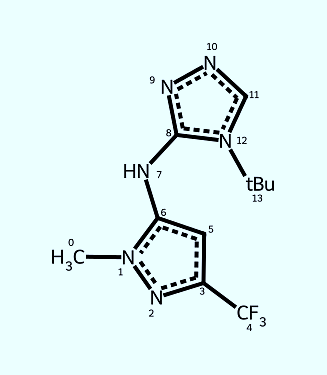 Cn1nc(C(F)(F)F)cc1Nc1nncn1C(C)(C)C